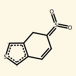 O=S(=O)=C1C=Cc2[c]s[c]c2C1